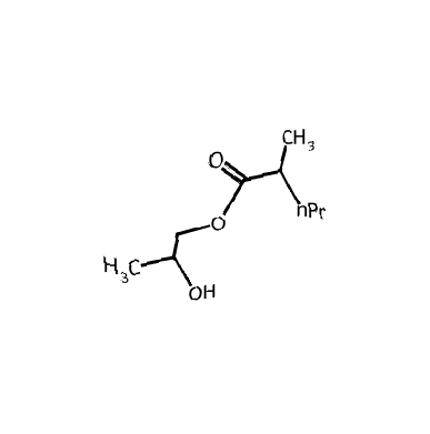 CCCC(C)C(=O)OCC(C)O